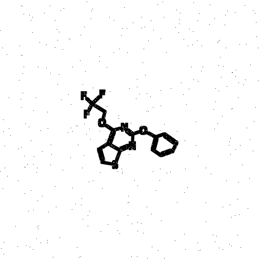 FC(F)(F)COc1nc(Oc2ccccc2)nc2sccc12